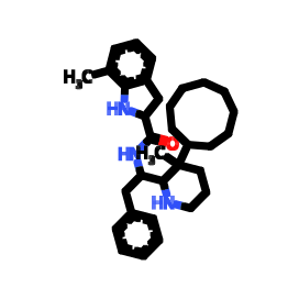 Cc1cccc2c1NC(C(=O)NC(Cc1ccccc1)C1NCCCC1(C)C1CCCCCCCC1)C2